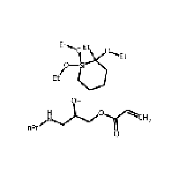 C=CC(=O)OCC(O)CNCCC.CCOC1(CC)CCCC[Si]1(OCC)OCC